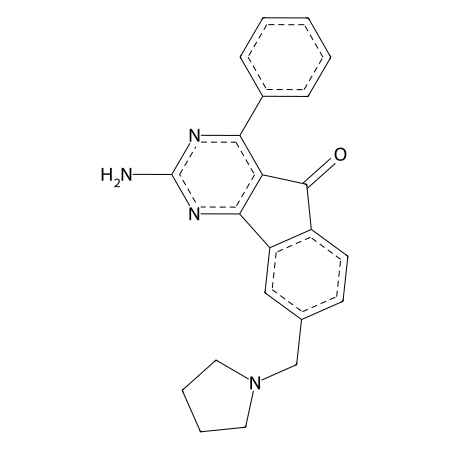 Nc1nc(-c2ccccc2)c2c(n1)-c1cc(CN3CCCC3)ccc1C2=O